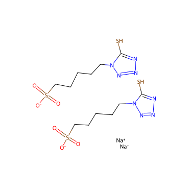 O=S(=O)([O-])CCCCCn1nnnc1S.O=S(=O)([O-])CCCCCn1nnnc1S.[Na+].[Na+]